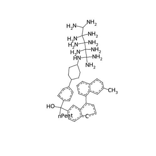 CCCCCC(O)(c1ccc(C2CCC(NC(N)(N)C(N)(N)C(N)(N)C(N)(N)C(N)N)CC2)cc1)c1ccc2cccc(-c3cccc4ccc(C)cc34)c2c1